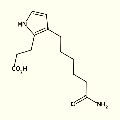 NC(=O)CCCCCc1cc[nH]c1CCC(=O)O